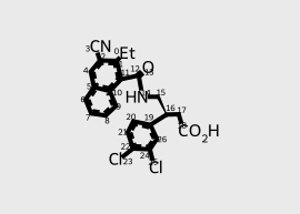 CCc1c(C#N)cc2ccccc2c1C(=O)NC[C@@H](CC(=O)O)c1ccc(Cl)c(Cl)c1